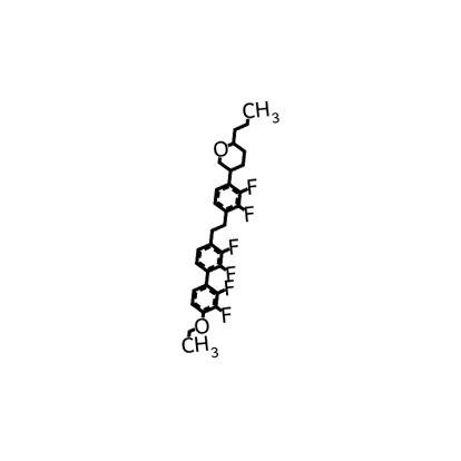 CCCC1CCC(c2ccc(CCc3ccc(-c4ccc(OCC)c(F)c4F)c(F)c3F)c(F)c2F)CO1